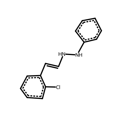 Clc1ccccc1C=CNNc1ccccc1